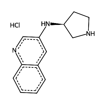 Cl.c1ccc2ncc(N[C@H]3CCNC3)cc2c1